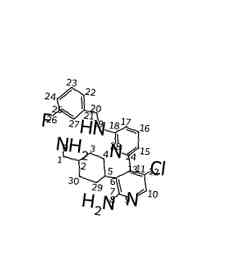 NCC1CCC(c2c(N)ncc(Cl)c2-c2cccc(NCc3cccc(F)c3)n2)CC1